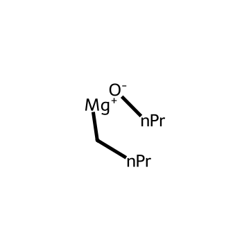 CCC[CH2][Mg+].CCC[O-]